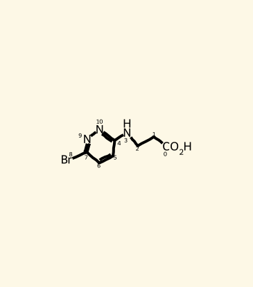 O=C(O)CCNc1ccc(Br)nn1